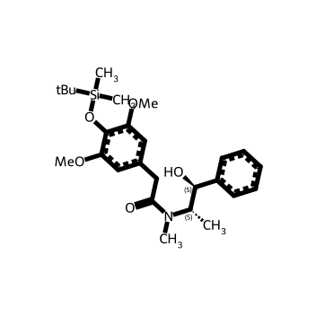 COc1cc(CC(=O)N(C)[C@@H](C)[C@@H](O)c2ccccc2)cc(OC)c1O[Si](C)(C)C(C)(C)C